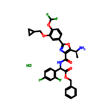 C[C@H](N)c1oc(-c2ccc(OC(F)F)c(OCC3CC3)c2)nc1C(=O)NC(C(=O)OCc1ccccc1)c1ccc(F)cc1F.Cl